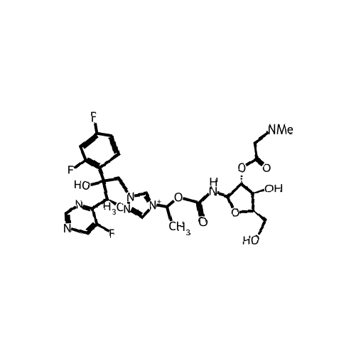 CNCC(=O)O[C@H]1C(NC(=O)OC(C)[n+]2cnn(CC(O)(c3ccc(F)cc3F)[C@@H](C)c3ncncc3F)c2)O[C@H](CO)[C@@H]1O